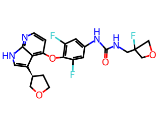 O=C(NCC1(F)COC1)Nc1cc(F)c(Oc2ccnc3[nH]cc([C@H]4CCOC4)c23)c(F)c1